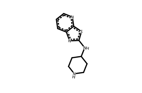 c1cnc2sc(NC3CCNCC3)nc2c1